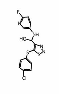 OC(Nc1ccc(F)nc1)c1nnsc1Sc1ccc(Cl)cc1